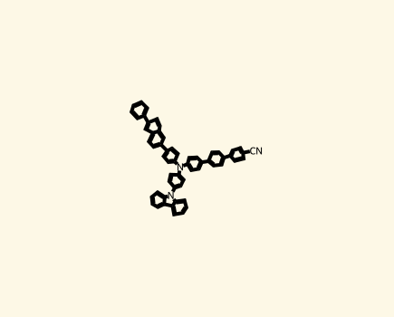 N#Cc1ccc(-c2ccc(-c3ccc(N(c4ccc(-c5ccc6cc(-c7ccccc7)ccc6c5)cc4)c4ccc(-n5c6ccccc6c6ccccc65)cc4)cc3)cc2)cc1